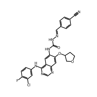 N#Cc1ccc(/C=N/NC(=O)Nc2cc3c(Nc4ccc(F)c(Cl)c4)ncnc3cc2OC2CCOC2)cc1